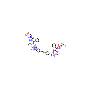 COC(=O)N[C@@H](C(=O)N1CCC[C@H]1c1ncc(-c2ccc(C#Cc3ccc(-c4cnc([C@@H]5CCCN5C(=O)[C@H](NC(=O)N5CCS(=O)(=O)CC5)c5ccccc5)[nH]4)cc3)cc2)[nH]1)c1ccccc1